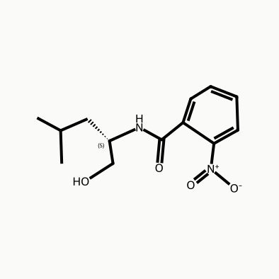 CC(C)C[C@@H](CO)NC(=O)c1ccccc1[N+](=O)[O-]